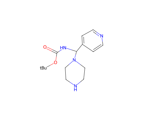 CC(C)(C)OC(=O)NC(c1ccncc1)N1CCNCC1